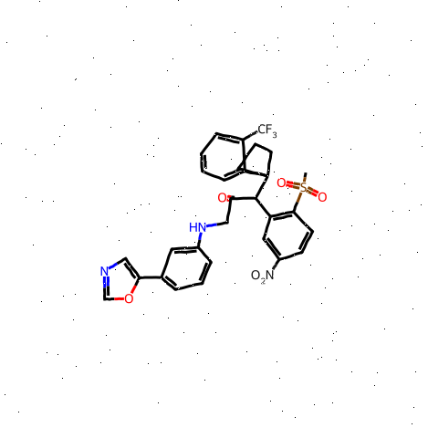 CS(=O)(=O)c1ccc([N+](=O)[O-])cc1C(C(=O)CNc1cccc(-c2cnco2)c1)C1(c2ccccc2C(F)(F)F)CCC1